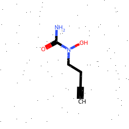 C#CCCN(O)C(N)=O